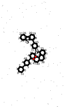 c1ccc(-c2ccc(-c3ccc(N(c4ccc(-c5cccc6c5sc5ccccc56)cc4)c4cccc5ccc6ccccc6c45)cc3)cc2)cc1